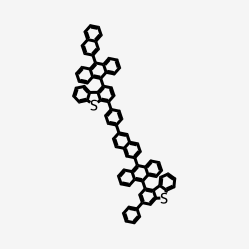 c1ccc(-c2cc(-c3c4ccccc4c(-c4ccc5cc(-c6ccc(-c7ccc(-c8c9ccccc9c(-c9ccc%10ccccc%10c9)c9ccccc89)c8c7sc7ccccc78)cc6)ccc5c4)c4ccccc34)c3c(c2)sc2ccccc23)cc1